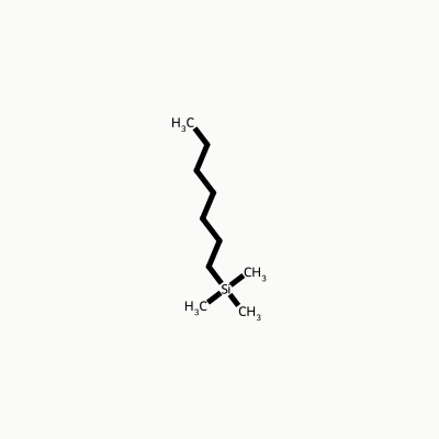 CCCCCCC[Si](C)(C)C